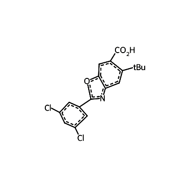 CC(C)(C)c1cc2nc(-c3cc(Cl)cc(Cl)c3)oc2cc1C(=O)O